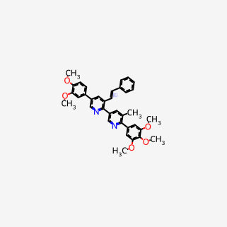 COc1ccc(-c2cnc(-c3cnc(-c4cc(OC)c(OC)c(OC)c4)c(C)c3)c(/C=C/c3ccccc3)c2)cc1OC